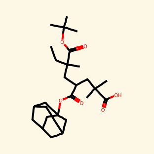 CCC(C)(CC(CC(C)(C)C(=O)O)C(=O)OC12CC3CC(CC(C3)C1)C2)C(=O)OC(C)(C)C